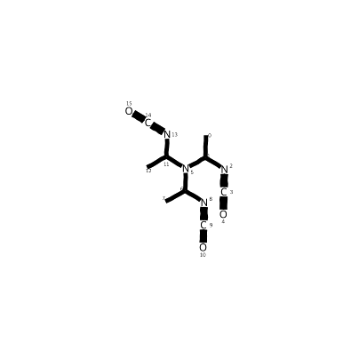 CC(N=C=O)N(C(C)N=C=O)C(C)N=C=O